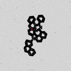 c1ccc(-c2nc(-c3cccc4ccc5c(c6ccccc6n5-c5ccc6ccc7ccccc7c6c5)c34)nc3ccc4ccccc4c23)cc1